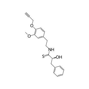 C#CCOc1ccc(CCNC(=S)[C@@H](O)Cc2ccccc2)cc1OC